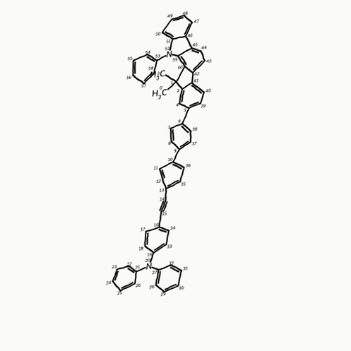 CC1(C)c2cc(-c3ccc(-c4ccc(C#Cc5ccc(N(c6ccccc6)c6ccccc6)cc5)cc4)cc3)ccc2-c2ccc3c4ccccc4n(-c4ccccc4)c3c21